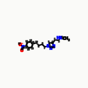 CNCCc1cn(CCCCc2ccc([N+](=O)[O-])cc2)nn1